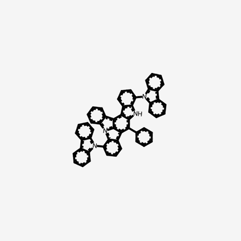 c1ccc(-c2c3[nH]c4c(-n5c6ccccc6c6ccccc65)cccc4c3c3c4ccccc4n4c5c(-n6c7ccccc7c7ccccc76)cccc5c2c34)cc1